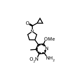 COc1nc(N)c([N+](=O)[O-])c(C)c1C1CCN(C(=O)C2CC2)C1